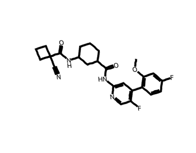 COc1cc(F)ccc1-c1cc(NC(=O)C2CCCC(NC(=O)C3(C#N)CCC3)C2)ncc1F